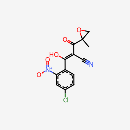 CC1(C(=O)/C(C#N)=C(\O)c2ccc(Cl)cc2[N+](=O)[O-])CO1